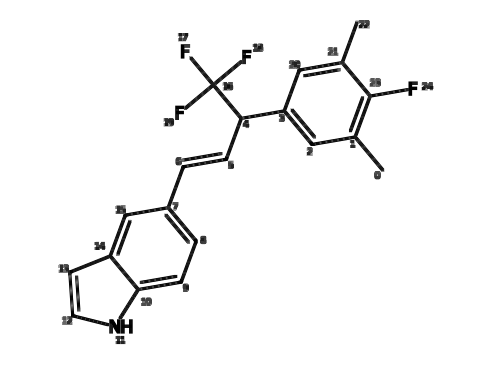 Cc1cc(C(/C=C/c2ccc3[nH]ccc3c2)C(F)(F)F)cc(C)c1F